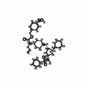 C=CCN(C(=O)OCc1ccc([N+](=O)[O-])cc1)C1CCN(C[C@H]2C[C@@H](N(C)S(=O)(=O)c3ccccc3)C[C@@H]2c2ccccc2)CC1